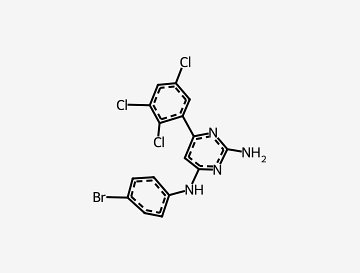 Nc1nc(Nc2ccc(Br)cc2)cc(-c2cc(Cl)cc(Cl)c2Cl)n1